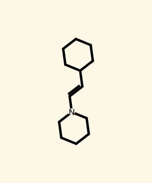 C(=C\N1CCCCC1)/C1CCCCC1